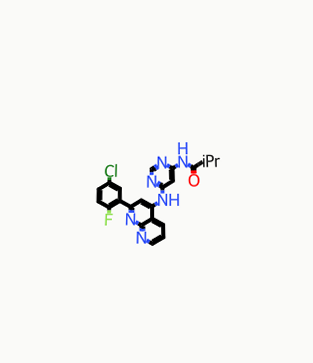 CC(C)C(=O)Nc1cc(Nc2cc(-c3cc(Cl)ccc3F)nc3ncccc23)ncn1